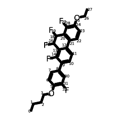 CCCCOc1ccc(-c2ccc3c(c2F)C(F)C(F)c2c-3ccc(OCC)c2F)cc1F